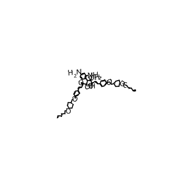 C=CCCCCOC1CCC(COc2ccc(/C=C/C(=O)C(O)C(c3ccc(N)cc3N)C(O)C(=O)/C=C/c3ccc(OCC4CCC(OCCCCC=C)CC4)cc3)cc2)CC1